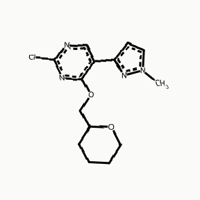 Cn1ccc(-c2cnc(Cl)nc2OCC2CCCCO2)n1